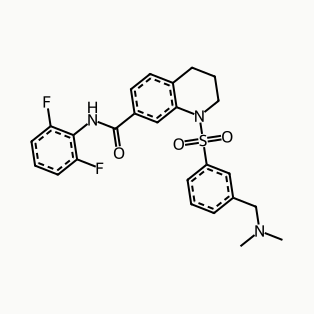 CN(C)Cc1cccc(S(=O)(=O)N2CCCc3ccc(C(=O)Nc4c(F)cccc4F)cc32)c1